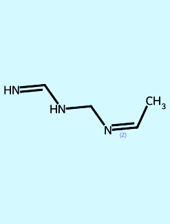 C/C=N\CNC=N